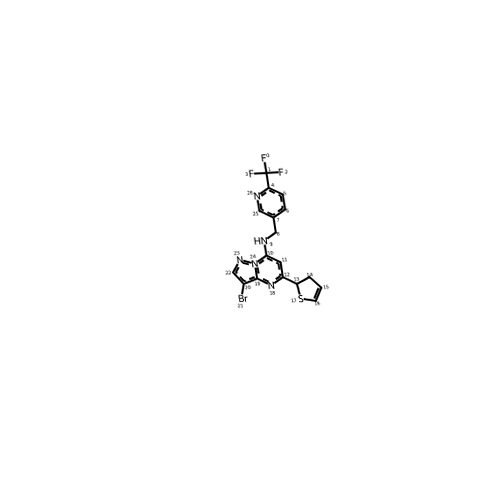 FC(F)(F)c1ccc(CNc2cc(C3CC=CS3)nc3c(Br)cnn23)cn1